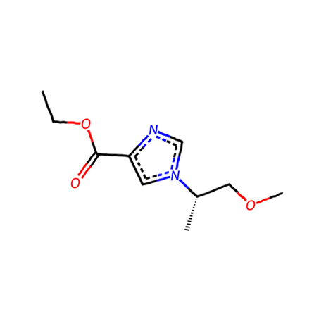 CCOC(=O)c1cn([C@@H](C)COC)cn1